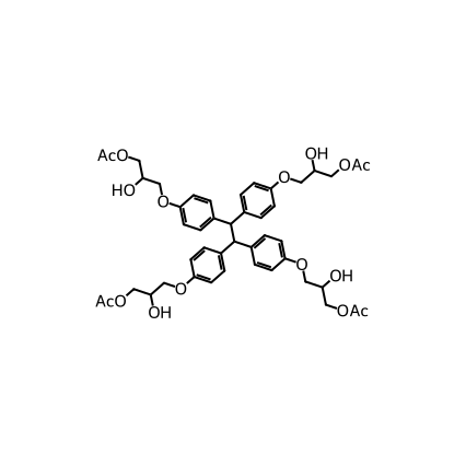 CC(=O)OCC(O)COc1ccc(C(c2ccc(OCC(O)COC(C)=O)cc2)C(c2ccc(OCC(O)COC(C)=O)cc2)c2ccc(OCC(O)COC(C)=O)cc2)cc1